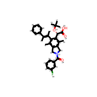 C/C(=C(/C)c1c(C)c2c(c(C)c1[C@H](OC(C)(C)C)C(=O)O)CN(C(=O)c1cccc(F)c1)C2)c1ccccc1